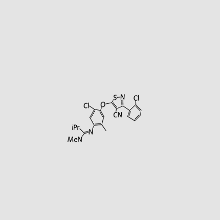 CNC(=Nc1cc(Cl)c(Oc2snc(-c3ccccc3Cl)c2C#N)cc1C)C(C)C